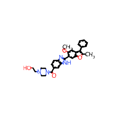 COc1cc2c(-c3ccccc3)c(C)oc2cc1-c1nc2ccc(C(=O)N3CCN(CCO)CC3)cc2[nH]1